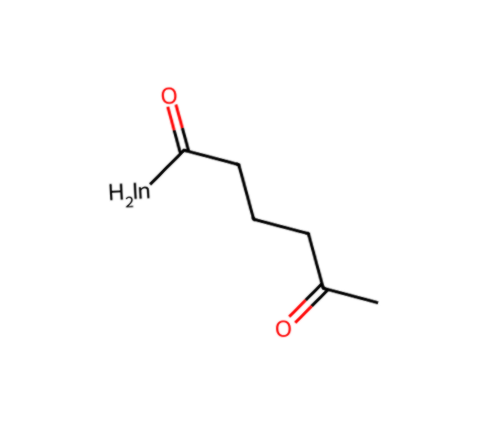 CC(=O)CCC[C](=O)[InH2]